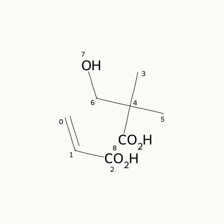 C=CC(=O)O.CC(C)(CO)C(=O)O